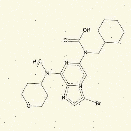 CN(c1nc(N(CC2CCCCC2)C(=O)O)cn2c(Br)cnc12)C1CCOCC1